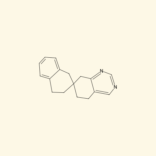 c1ccc2c(c1)CCC1(CCc3cncnc3C1)C2